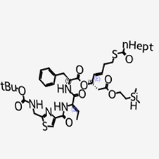 C/C=C(\NC(=O)c1csc(CNC(=O)OC(C)(C)C)n1)C(=O)N[C@@H](Cc1ccccc1)C(=O)O[C@H](/C=C/CCSC(=O)CCCCCCC)CC(=O)OCC[SiH](C)C